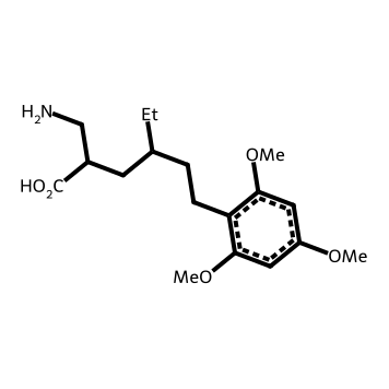 CCC(CCc1c(OC)cc(OC)cc1OC)CC(CN)C(=O)O